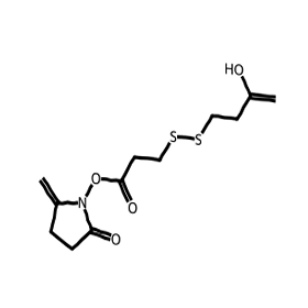 C=C(O)CCSSCCC(=O)ON1C(=C)CCC1=O